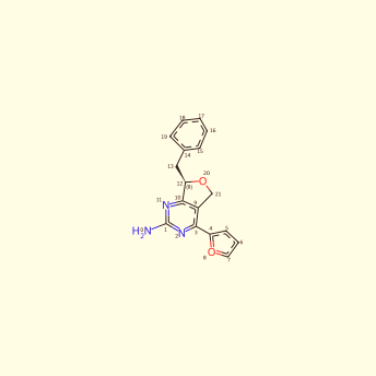 Nc1nc(-c2ccco2)c2c(n1)[C@@H](Cc1ccccc1)OC2